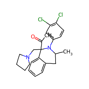 CC(=O)C1(CN2CCCC2)c2ccccc2CC(C)N1c1ccc(Cl)c(Cl)c1